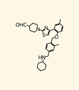 Cc1ccc(OCc2ccc(CNC3CCCCC3)cc2C)c(-c2csc(N3CCC(C=O)CC3)n2)c1